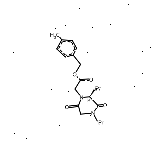 Cc1ccc(COC(=O)CN2C(=O)CN(C(C)C)C(=O)[C@@H]2C(C)C)cc1